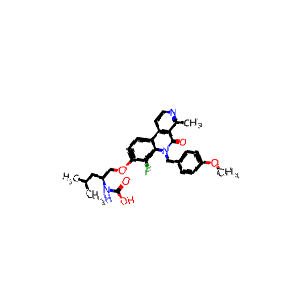 COc1ccc(Cn2c(=O)c3c(C)nccc3c3ccc(OCC(CC(C)C)NC(=O)O)c(F)c32)cc1